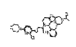 CC(=O)N1CCn2c(nc3c2C(c2ncccc2F)N(C(=O)COc2ccc(N4CCOCC4)nc2Cl)CC3)C1